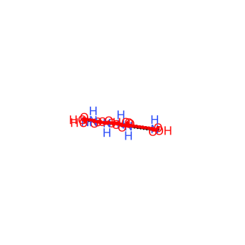 O=C(O)CNC(=O)CCCCCCCCCCCCCCC(=O)NC(CCC(=O)NCCOCCOCC(=O)NCCOCCOCC(=O)NCCCCC(NO)C(=O)O)C(=O)O